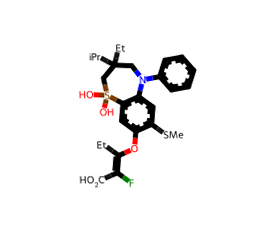 CC/C(Oc1cc2c(cc1SC)N(c1ccccc1)CC(CC)(C(C)C)CS2(O)O)=C(/F)C(=O)O